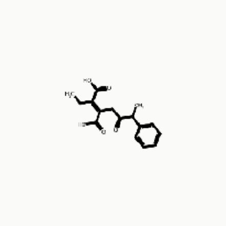 CCC(C(=O)O)=C(CC(=O)C(C)c1ccccc1)C(=O)O